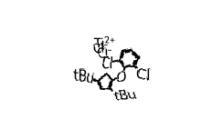 CC(C)(C)C1=CC(C(C)(C)C)=C(Oc2c(Cl)cccc2Cl)C1.[Cl-].[Cl-].[Ti+2]